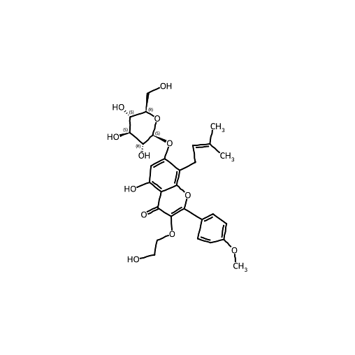 COc1ccc(-c2oc3c(CC=C(C)C)c(O[C@@H]4O[C@H](CO)[C@@H](O)[C@H](O)[C@H]4O)cc(O)c3c(=O)c2OCCO)cc1